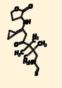 CC(C)(CNC=S)C(C)(C)C(=O)CC(NC1CCOC1=O)=C1CC1